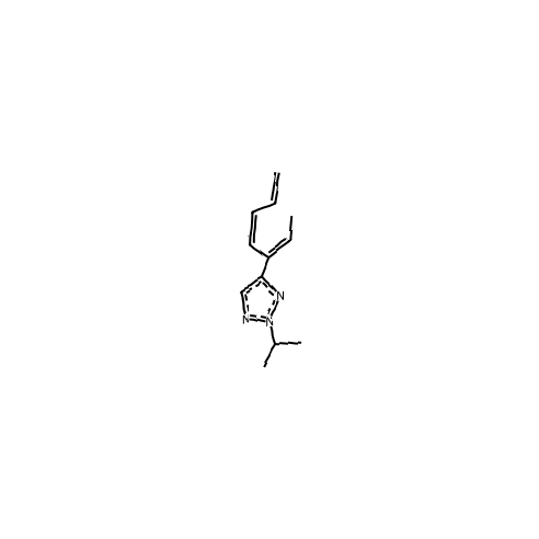 C=C/C=C\C(=C/C)c1cnn(C(C)C)n1